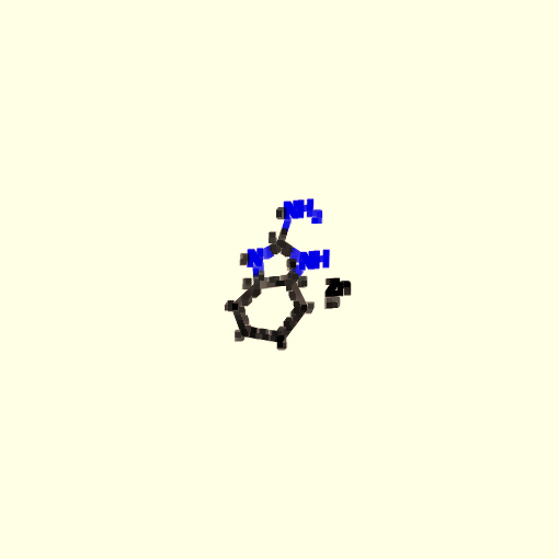 Nc1nc2ccccc2[nH]1.[Zn]